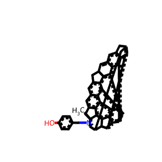 CC1N(c2ccc(O)cc2)CC2C3CC4=c5c6c7c8c(c9c%10c(cc%11cc%12c%13c%14c%15c%16c(cc(c5c%16c7c%15c5c%13c%11c%10c85)C4)=CC%14C%12)CC921)C63